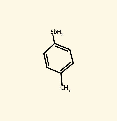 Cc1cc[c]([SbH2])cc1